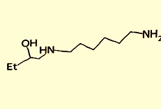 CCC(O)CNCCCCCCN